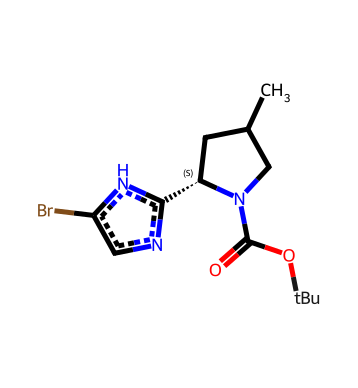 CC1C[C@@H](c2ncc(Br)[nH]2)N(C(=O)OC(C)(C)C)C1